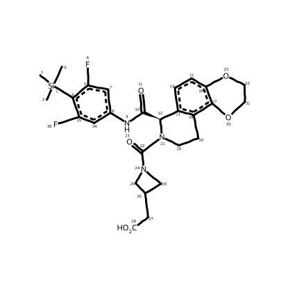 C[Si](C)(C)c1c(F)cc(NC(=O)[C@H]2c3ccc4c(c3CCN2C(=O)N2CC(CC(=O)O)C2)OCCO4)cc1F